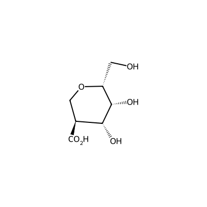 O=C(O)[C@H]1CO[C@H](CO)[C@H](O)[C@@H]1O